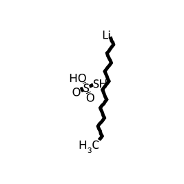 O=S(=O)(O)S.[Li][CH2]CCCCCCCCCCC